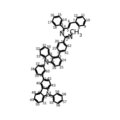 C\N=C(/N=C(\C=C\c1ccccc1)c1ccccc1)c1ccc(-c2cccc3c2c2ccccc2n3-c2cccc(-c3ccc4c(c3)c3ccccc3n4-c3ccccc3)c2)cc1